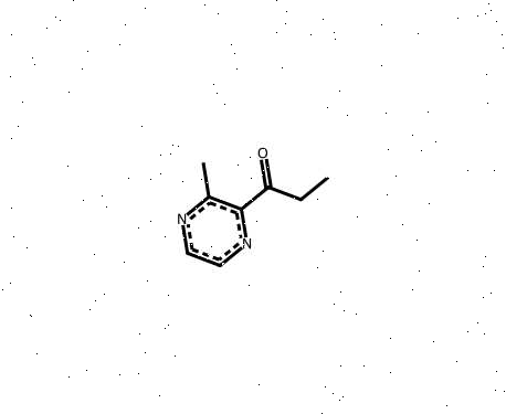 CCC(=O)c1nccnc1C